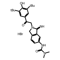 Br.CN(C)C(=O)Nc1ccc2c(c1)C(=N)N(CC(=O)c1cc(C(C)(C)C)c(O)c(C(C)(C)C)c1)C2